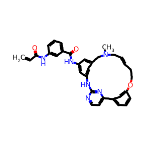 C=CC(=O)Nc1cccc(C(=O)Nc2cc3cc(c2)Nc2nccc(n2)-c2cccc(c2)OCC/C=C/CN(C)C3)c1